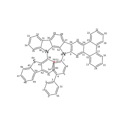 c1ccc(-c2ccc(-n3c4cc5c6ccccc6c6ccccc6c5cc4c4ccc5c6ccccc6n(-c6cccc7c6sc6ccccc67)c5c43)cc2)cc1